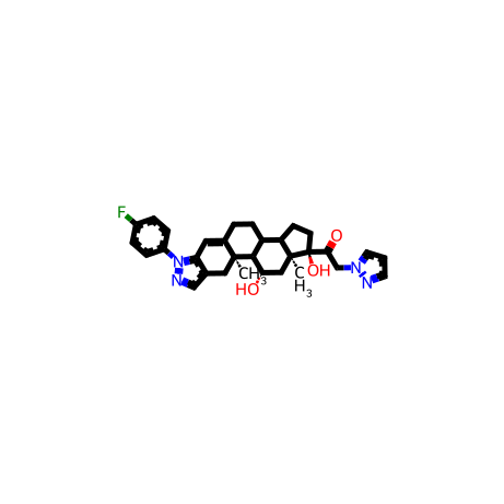 C[C@]12Cc3cnn(-c4ccc(F)cc4)c3C=C1CCC1C2[C@@H](O)C[C@@]2(C)C1CC[C@]2(O)C(=O)Cn1cccn1